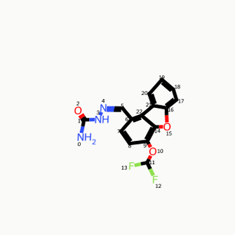 NC(=O)N/N=C\c1ccc(OC(F)F)c2oc3ccccc3c12